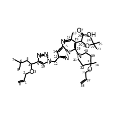 C=CCOC(CC(C)C)c1cn(Cc2cc3nc(C)c(C(OC(C)(C)C)C(=O)O)c(N4CCC(C)(OCC=C)CC4)n3n2)nn1